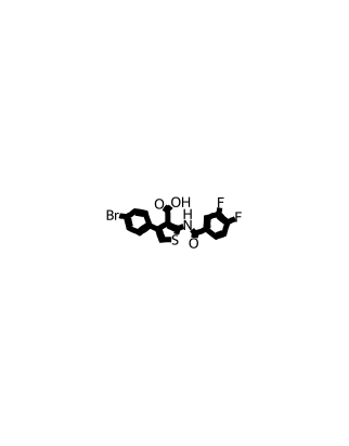 O=C(Nc1scc(-c2ccc(Br)cc2)c1C(=O)O)c1ccc(F)c(F)c1